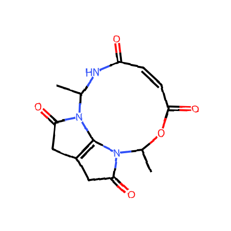 CC1NC(=O)/C=C\C(=O)OC(C)N2C(=O)CC3=C2N1C(=O)C3